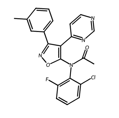 CC(=O)N(c1onc(-c2cccc(C)c2)c1-c1ccncn1)c1c(F)cccc1Cl